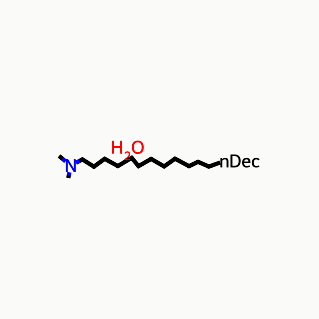 CCCCCCCCCCCCCCCCCCCCCCN(C)C.O